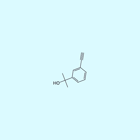 C#Cc1cccc(C(C)(C)O)c1